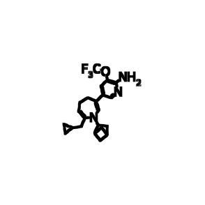 Nc1ncc(C2=CN(C3CC4CC3C4)C(CC3CC3)=CCC2)cc1OC(F)(F)F